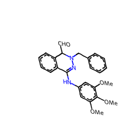 COc1cc(NC2=NN(Cc3ccccc3)C(C=O)c3ccccc32)cc(OC)c1OC